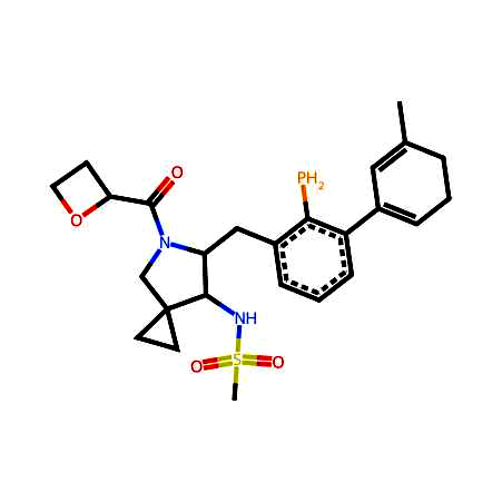 CC1=CC(c2cccc(CC3C(NS(C)(=O)=O)C4(CC4)CN3C(=O)C3CCO3)c2P)=CCC1